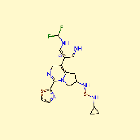 N=C/C(=C\NC(F)F)C1=C2CC(NSNC3CC3)CN2C(c2nccs2)=NC1